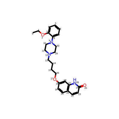 CCOc1ccccc1N1CCN(CCCCOc2ccc3ccc(=O)[nH]c3c2)CC1